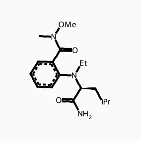 CCN(c1ccccc1C(=O)N(C)OC)[C@@H](CC(C)C)C(N)=O